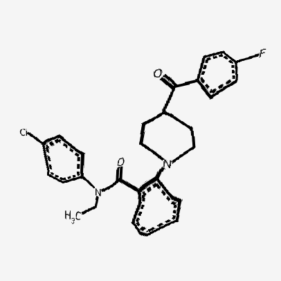 CCN(C(=O)c1ccccc1N1CCC(C(=O)c2ccc(F)cc2)CC1)c1ccc(Cl)cc1